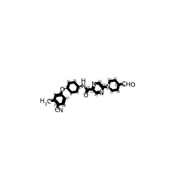 Cc1cc(O[C@H]2CC[C@H](NC(=O)c3cnc(N4CCC(C=O)CC4)cn3)CC2)ccc1C#N